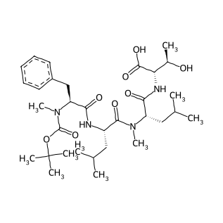 CC(C)C[C@H](NC(=O)[C@H](Cc1ccccc1)N(C)C(=O)OC(C)(C)C)C(=O)N(C)[C@@H](CC(C)C)C(=O)N[C@H](C(=O)O)[C@@H](C)O